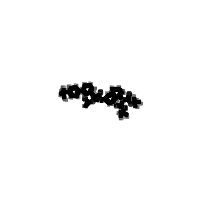 CC(=O)OC(C(=O)Nc1ccc2c(N(C(=O)OC(C)(C)C)C(=O)OC(C)(C)C)nccc2c1)c1cccc(-c2ccc(C(C)(C)C)cc2)c1